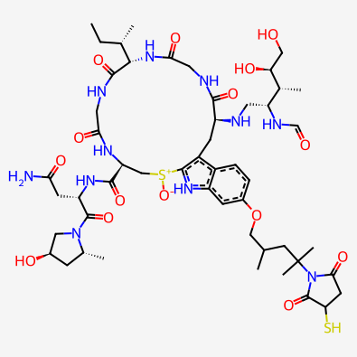 CC[C@H](C)[C@@H]1NC(=O)CNC(=O)[C@@H](NC[C@@H](NC=O)[C@@H](C)[C@@H](O)CO)Cc2c([nH]c3cc(OCC(C)CC(C)(C)N4C(=O)CC(S)C4=O)ccc23)[S+]([O-])C[C@@H](C(=O)N[C@@H](CC(N)=O)C(=O)N2C[C@H](O)C[C@H]2C)NC(=O)CNC1=O